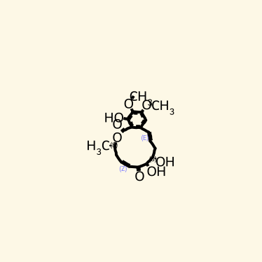 COc1cc2c(c(O)c1OC)C(=O)O[C@@H](C)C/C=C\C(=O)C(O)[C@@H](O)C/C=C/2